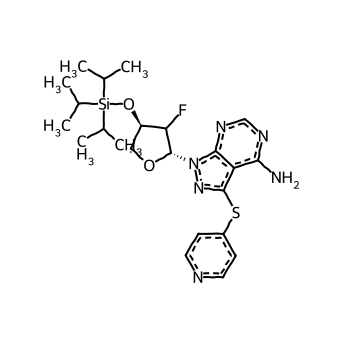 CC(C)[Si](O[C@@H]1[CH]O[C@@H](n2nc(Sc3ccncc3)c3c(N)ncnc32)C1F)(C(C)C)C(C)C